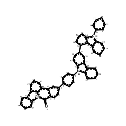 O=c1c2ccc(-c3ccc(-n4c5ccccc5c5cc(-c6cccc7c6c6ccccc6n7-c6ccccc6)ccc54)cc3)cc2c2cccc3c4ccccc4n1c23